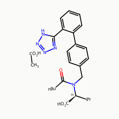 CC(=O)O.CCCCC(=O)N(Cc1ccc(-c2ccccc2-c2nnn[nH]2)cc1)[C@H](C(=O)O)C(C)C